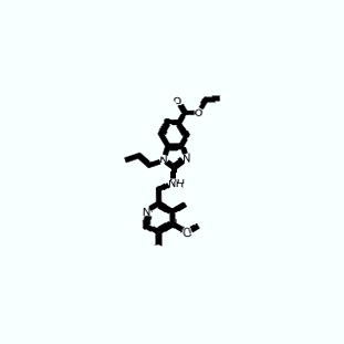 CCCn1c(NCc2ncc(C)c(OC)c2C)nc2cc(C(=O)OCC)ccc21